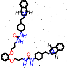 O=C(NCCCOc1ccccc1OCCCNC(=O)NC1CCC(CCN2[C@@H]3CC[C@H]2c2ccccc23)CC1)NC1CCC(CCN2[C@@H]3CC[C@H]2c2ccccc23)CC1